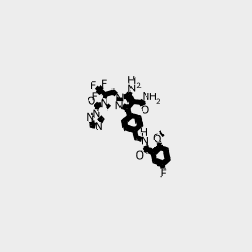 COc1ccc(F)cc1C(=O)NCc1ccc(-c2nn(CC(N(C)C(=O)n3cncn3)C(F)(F)F)c(N)c2C(N)=O)cc1